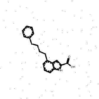 O=C(O)c1cc2c(CCCCc3ccccc3)cccc2[nH]1